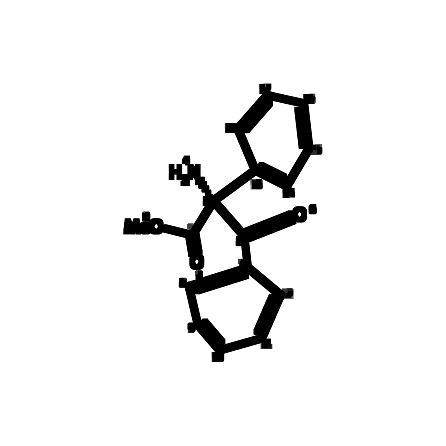 COC(=O)[C@](N)(C(=O)c1ccccc1)c1ccccc1